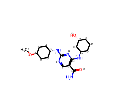 CO[C@H]1CC[C@H](Nc2ncc(C(N)=O)c(N[C@@H]3CCC[C@@H](O)C3)n2)CC1